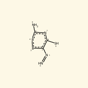 N=Nc1bbc(N)nc1S